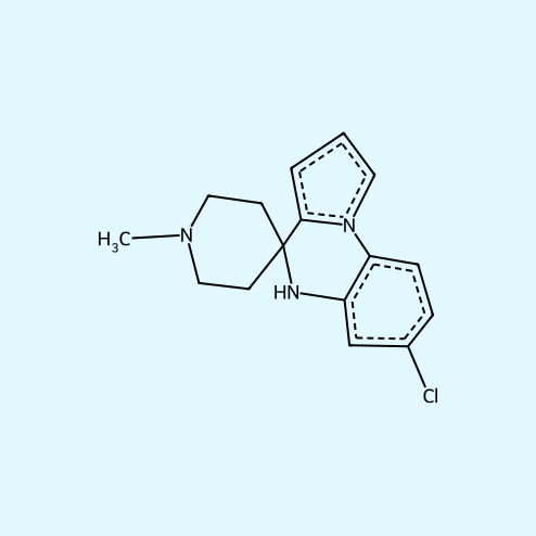 CN1CCC2(CC1)Nc1cc(Cl)ccc1-n1cccc12